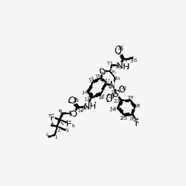 CCC(C)(C)C(F)(F)COC(=O)Nc1ccc2c(c1)N(S(=O)(=O)c1ccc(F)cc1)C[C@H](CNC(C)=O)O2